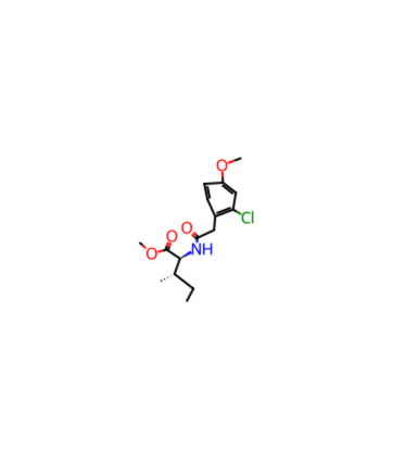 CC[C@H](C)[C@H](NC(=O)Cc1ccc(OC)cc1Cl)C(=O)OC